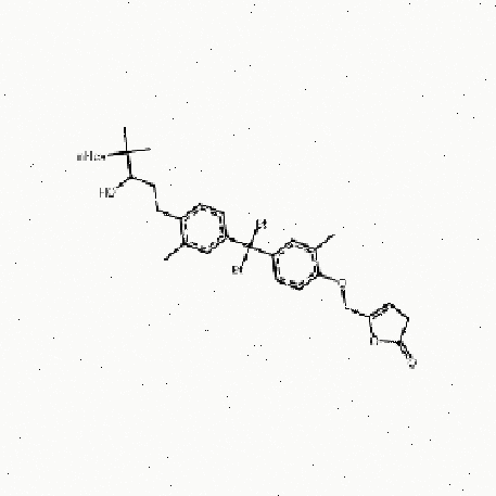 CCCCCCC(C)(C)C(O)CCc1ccc(C(CC)(CC)c2ccc(OCC3=CCC(=O)O3)c(C)c2)cc1C